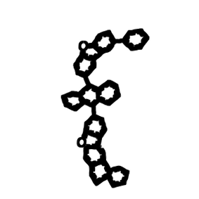 c1ccc(-c2ccc3oc4ccc(-c5c6ccccc6c(-c6ccc7c(c6)oc6cc8ccc9ccccc9c8cc67)c6ccccc56)cc4c3c2)cc1